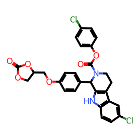 O=C1OCC(COc2ccc(C3c4[nH]c5ccc(Cl)cc5c4CCN3C(=O)Oc3ccc(Cl)cc3)cc2)O1